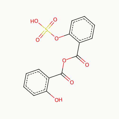 O=C(OC(=O)c1ccccc1OS(=O)(=O)O)c1ccccc1O